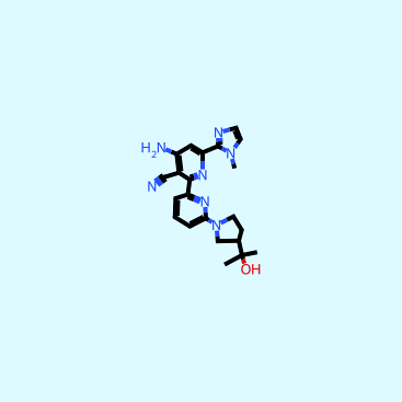 Cn1ccnc1-c1cc(N)c(C#N)c(-c2cccc(N3CCC(C(C)(C)O)C3)n2)n1